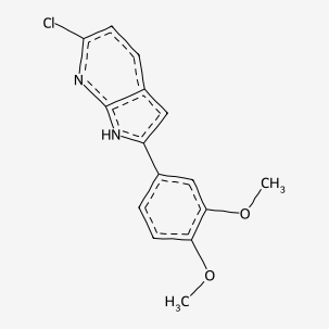 COc1ccc(-c2cc3ccc(Cl)nc3[nH]2)cc1OC